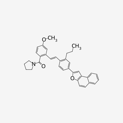 CCCc1cc(-c2cc3c(ccc4ccccc43)o2)ccc1C=Cc1cc(OC)ccc1C(=O)N1CCCC1